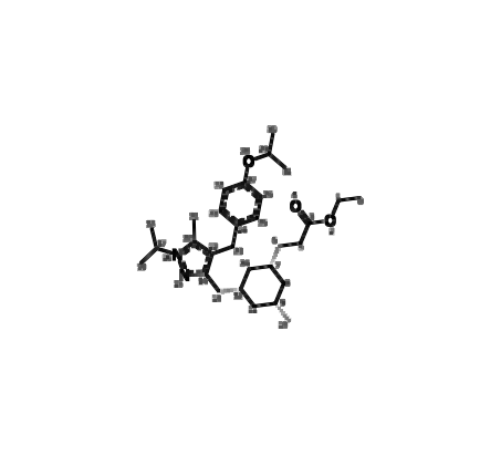 CCOC(=O)CC[C@@H]1C[C@H](C)C[C@H](Cc2nn(C(C)C)c(C)c2Cc2ccc(OC(C)C)cc2)C1